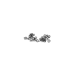 CC1=C(C(=O)OC(c2ccccc2)c2ccccc2)N2C(=O)[C@@H](NC(=O)Cc3ccc(NC(=O)OC[C@@H](NC(=O)OC(C)(C)C)C(=O)OC(C)(C)C)cc3)[C@@H]2SC1